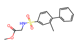 COC(=O)CNS(=O)(=O)c1ccc(-c2ccccc2)c(C)c1